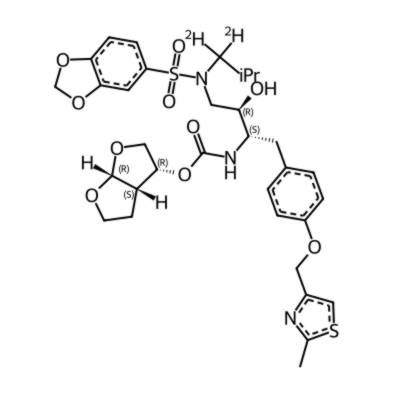 [2H]C([2H])(C(C)C)N(C[C@@H](O)[C@H](Cc1ccc(OCc2csc(C)n2)cc1)NC(=O)O[C@H]1CO[C@H]2OCC[C@H]21)S(=O)(=O)c1ccc2c(c1)OCO2